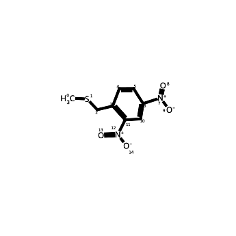 CSCc1ccc([N+](=O)[O-])cc1[N+](=O)[O-]